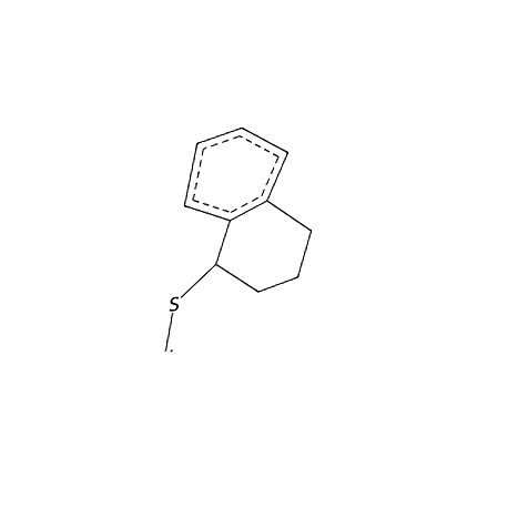 [CH2]SC1CCCc2ccccc21